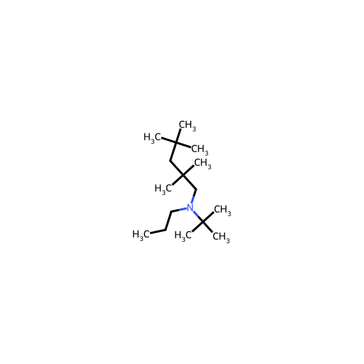 CCCN(CC(C)(C)CC(C)(C)C)C(C)(C)C